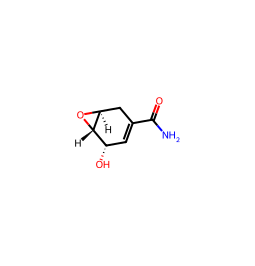 NC(=O)C1=C[C@H](O)[C@@H]2O[C@H]2C1